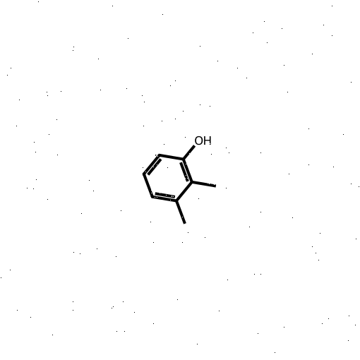 Cc1cc[c]c(O)c1C